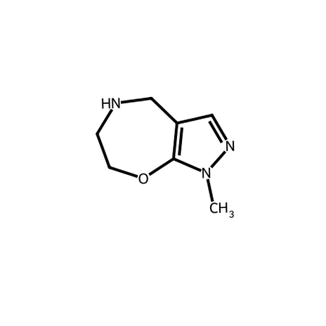 Cn1ncc2c1OCCNC2